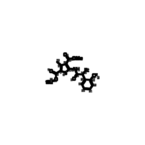 CCC(C(=O)Nc1sc(C(=O)OC(C)(C)C)c(C)c1C(=O)OC)c1ccccc1C(F)(F)F